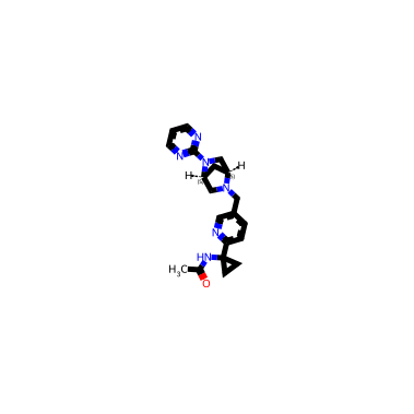 CC(=O)NC1(c2ccc(CN3C[C@@H]4C[C@H]3CN4c3ncccn3)cn2)CC1